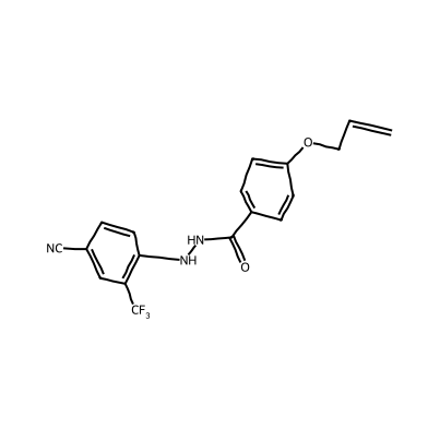 C=CCOc1ccc(C(=O)NNc2ccc(C#N)cc2C(F)(F)F)cc1